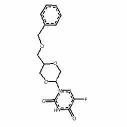 O=c1[nH]c(=O)n(C2COC(COCc3ccccc3)CO2)cc1F